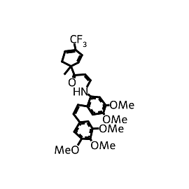 COc1cc(/C=C\c2cc(OC)c(OC)c(OC)c2)c(N/C=C\C(=O)C2(C)C=CC(C(F)(F)F)=CC2)cc1OC